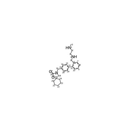 CNCCNCc1ccccc1-c1ccc(CN2CC3(CCCCC3)OC2=O)cc1